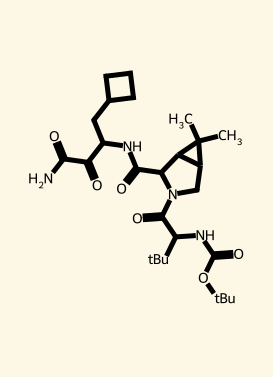 CC(C)(C)OC(=O)NC(C(=O)N1CC2C(C1C(=O)NC(CC1CCC1)C(=O)C(N)=O)C2(C)C)C(C)(C)C